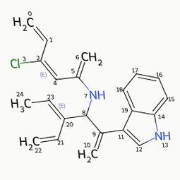 C=C/C(Cl)=C\C(=C)NC(C(=C)c1c[nH]c2ccccc12)/C(C=C)=C/C